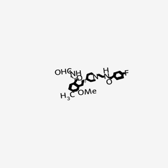 COc1c(C)ccc2c1C[C@@H](C1CCN(CCNC(=O)c3ccc(F)cc3)CC1)O[C@H]2CNC=O